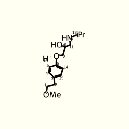 COCCc1ccc(OCC(O)CNC(C)C)cc1.[H+]